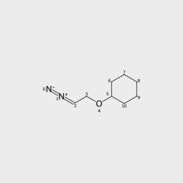 [N-]=[N+]=CCOC1CCCCC1